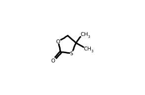 CC1(C)COC(=O)S1